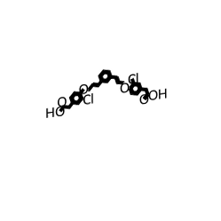 O=C(O)Cc1ccc(OC/C=C/c2cccc(/C=C/COc3ccc(CC(=O)O)cc3Cl)c2)c(Cl)c1